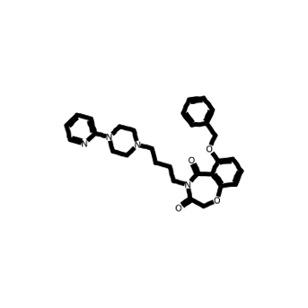 O=C1COc2cccc(OCc3ccccc3)c2C(=O)N1CCCCN1CCN(c2ccccn2)CC1